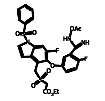 CCOC(=O)CS(=O)(=O)Cc1c(Oc2ccc(F)c(C(=N)NOC(C)=O)c2)c(F)cc2c1ccn2S(=O)(=O)c1ccccc1